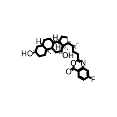 C[C@H](CCc1nc2cc(F)ccc2c(=O)o1)[C@H]1CC[C@H]2[C@@H]3CC[C@@H]4C[C@H](O)CC[C@]4(C)C3C[C@H](O)[C@]12C